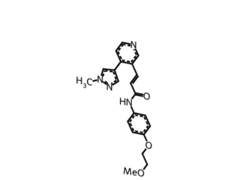 COCCOc1ccc(NC(=O)/C=C/c2cnccc2-c2cnn(C)c2)cc1